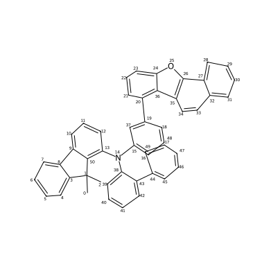 CC1(C)c2ccccc2-c2cccc(N(c3cccc(-c4cccc5oc6c7ccccc7ccc6c45)c3)c3ccccc3-c3ccccc3)c21